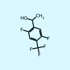 CC(O)c1cc(F)c(C(F)(F)F)cc1F